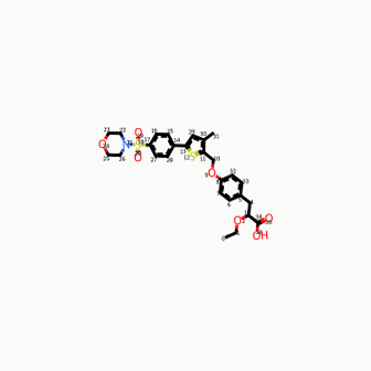 CCOC(Cc1ccc(OCc2sc(-c3ccc(S(=O)(=O)N4CCOCC4)cc3)cc2C)cc1)C(=O)O